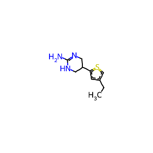 CCc1csc(C2CN=C(N)NC2)c1